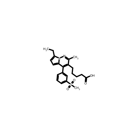 CCc1ccc2c(-c3cccc(S(C)(=O)=O)c3)c(CCCCC(=O)O)c(C)nn12